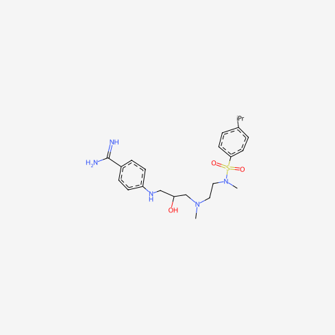 CC(C)c1ccc(S(=O)(=O)N(C)CCN(C)CC(O)CNc2ccc(C(=N)N)cc2)cc1